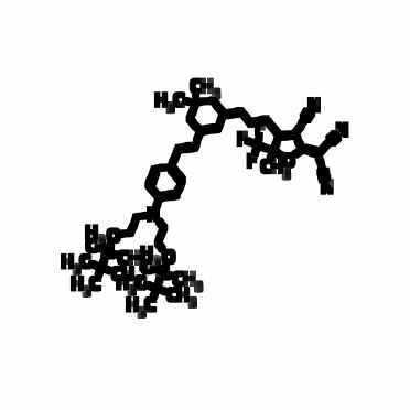 CC1(C)CC(=CC=CC2=C(C#N)C(=C(C#N)C#N)OC2(C)C(F)(F)F)C=C(C=Cc2ccc(N(CCO[Si](C)(C)C(C)(C)C)CCO[Si](C)(C)C(C)(C)C)cc2)C1